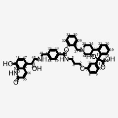 O=C(NCCCOc1cccc([C@@](O)(C(=O)O)c2ccccc2C2CCN(Cc3ccccc3)CC2)c1)c1ccc(CNC[C@H](O)c2ccc(O)c3[nH]c(=O)ccc23)cc1